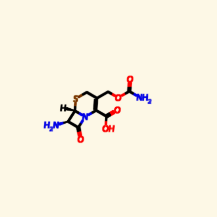 NC(=O)OCC1=C(C(=O)O)N2C(=O)[C@@H](N)[C@@H]2SC1